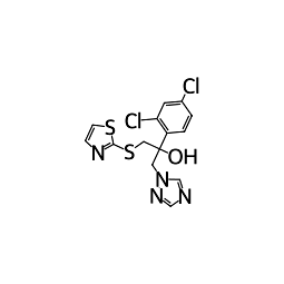 OC(CSc1nccs1)(Cn1cncn1)c1ccc(Cl)cc1Cl